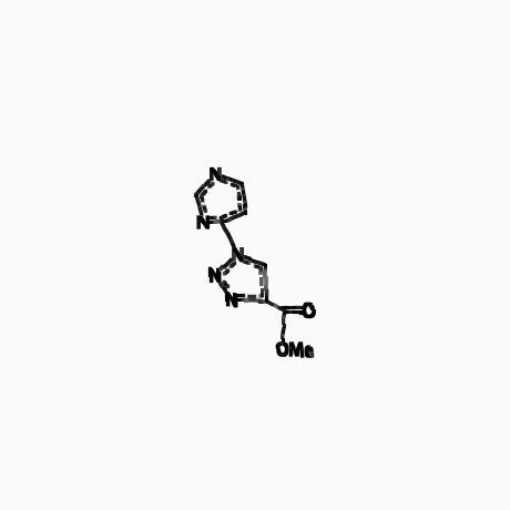 COC(=O)c1cn(-c2ccncn2)nn1